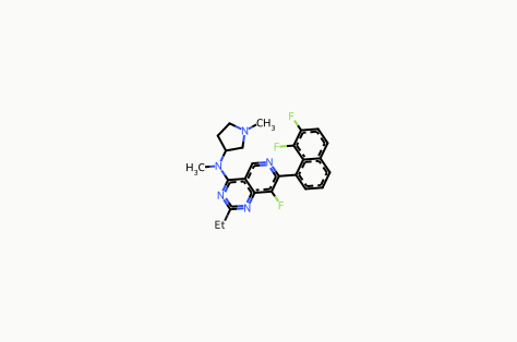 CCc1nc(N(C)C2CCN(C)C2)c2cnc(-c3cccc4ccc(F)c(F)c34)c(F)c2n1